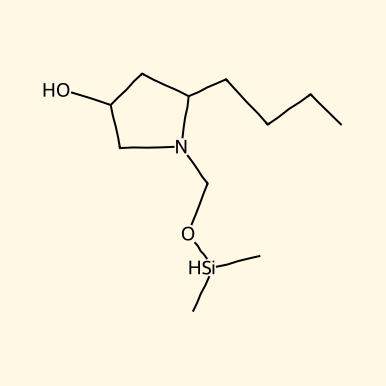 CCCCC1CC(O)CN1CO[SiH](C)C